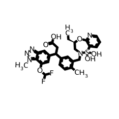 CC[C@@H]1CN(Cc2cc(C(CC(=O)O)c3cc(OC(F)F)c4c(c3)nnn4C)ccc2C)S(O)(O)c2cccnc2O1